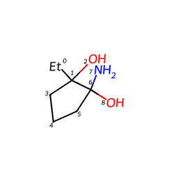 CCC1(O)CCCC1(N)O